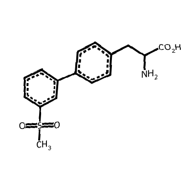 CS(=O)(=O)c1cccc(-c2ccc(CC(N)C(=O)O)cc2)c1